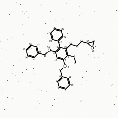 CCc1c(OCc2ccccc2)cc(OCc2ccccc2)c(-c2ccccc2)c1CCCC1CO1